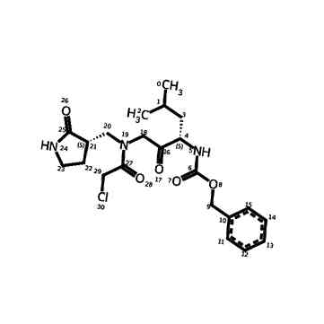 CC(C)C[C@H](NC(=O)OCc1ccccc1)C(=O)CN(C[C@@H]1CCNC1=O)C(=O)CCl